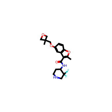 Cc1oc2ccc(OCC3(C)COC3)cc2c1C(=O)NC1CCNCC1(F)F